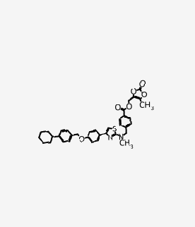 Cc1oc(=O)oc1COC(=O)c1ccc(CN(C)c2nc(-c3ccc(OCc4ccc(C5CCCCC5)cc4)cc3)cs2)cc1